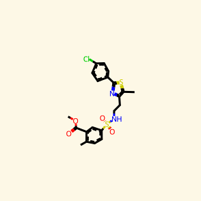 COC(=O)c1cc(S(=O)(=O)NCCc2nc(-c3ccc(Cl)cc3)sc2C)ccc1C